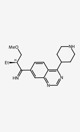 CC[C@@H](COC)C(=N)c1ccc2c(C3CCNCC3)ncnc2c1